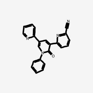 N#Cc1cccc(-c2cc(-c3ccccn3)cn(-c3ccccc3)c2=O)n1